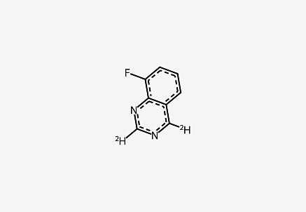 [2H]c1nc([2H])c2cccc(F)c2n1